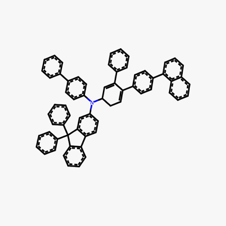 C1=C(c2ccccc2)C(c2ccc(-c3cccc4ccccc34)cc2)=CCC1N(c1ccc(-c2ccccc2)cc1)c1ccc2c(c1)C(c1ccccc1)(c1ccccc1)c1ccccc1-2